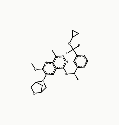 COc1nc2c(C)nnc(N[C@H](C)c3cccc(C(F)(F)OC4CC4)c3)c2cc1N1CC2CC1CO2